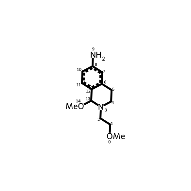 COCCN1CCc2cc(N)ccc2C1OC